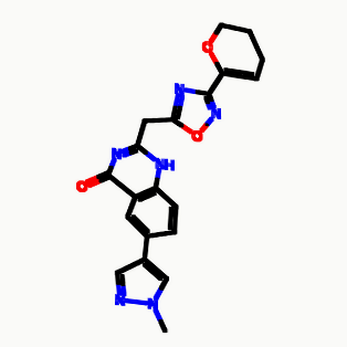 Cn1cc(-c2ccc3[nH]c(Cc4nc(C5=CCCCO5)no4)nc(=O)c3c2)cn1